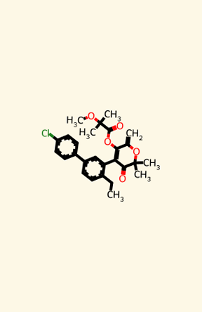 C=C1OC(C)(C)C(=O)C(c2cc(-c3ccc(Cl)cc3)ccc2CC)=C1OC(=O)C(C)(C)OC